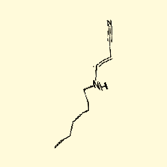 CCCCCN/[C]=C/C#N